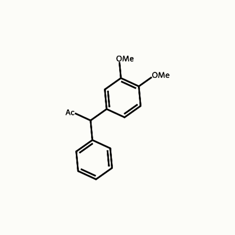 COc1ccc(C(C(C)=O)c2ccccc2)cc1OC